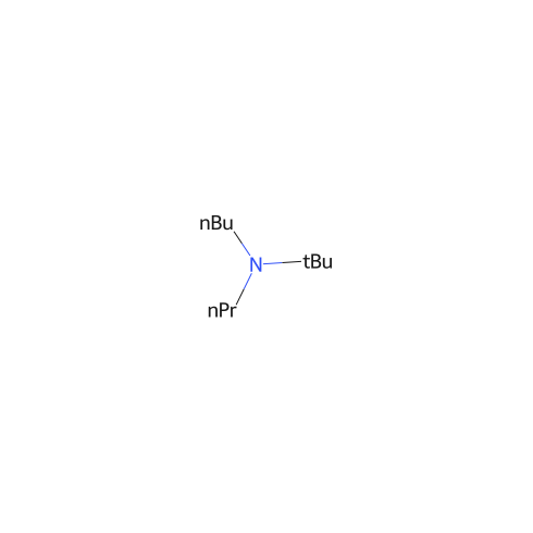 CCCCN(CCC)C(C)(C)C